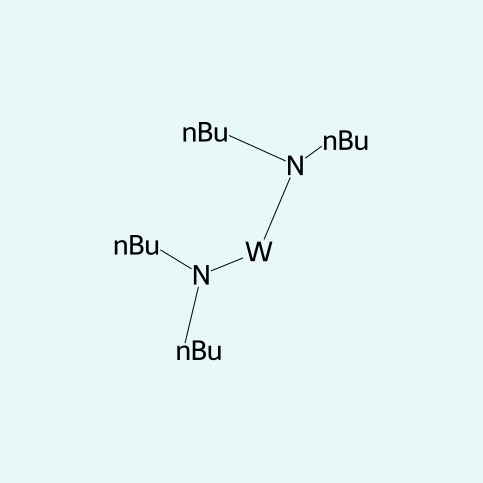 CCCC[N](CCCC)[W][N](CCCC)CCCC